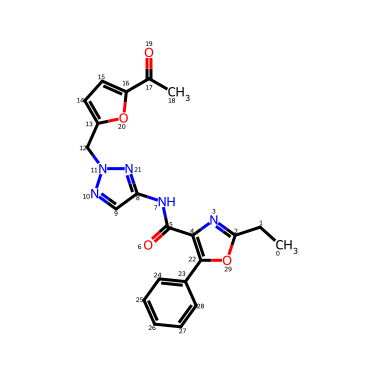 CCc1nc(C(=O)Nc2cnn(Cc3ccc(C(C)=O)o3)n2)c(-c2ccccc2)o1